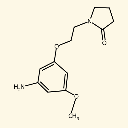 COc1cc(N)cc(OCCN2CCCC2=O)c1